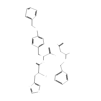 CC(OCc1ccccc1)[C@H](NC(=O)[C@H](Cc1ccc(OCc2ccccc2)cc1)NC(=O)C(N)Cc1c[nH]cn1)C(=O)O